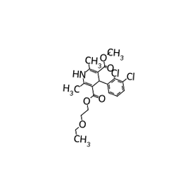 CCOCCOC(=O)C1=C(C)NC(C)=C(C(=O)OC)C1c1cccc(Cl)c1Cl